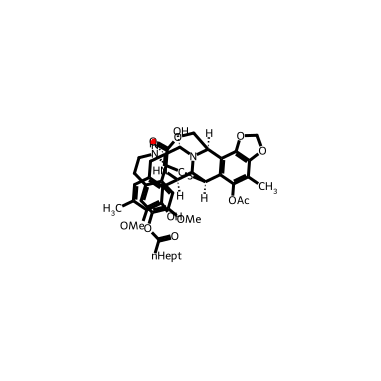 CCCCCCCC(=O)Oc1cc2c(cc1OC)[C@@]1(CS[C@@H]3c4c(OC(C)=O)c(C)c5c(c4[C@H](COC1=O)N1C3[C@@H]3N[C@@H](Cc4cc(C)c(OC)c(O)c43)[C@@H]1O)OCO5)NCC2